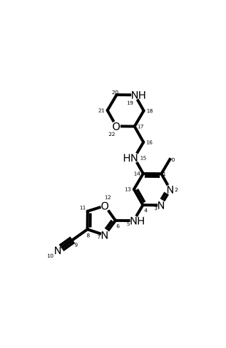 Cc1nnc(Nc2nc(C#N)co2)cc1NCC1CNCCO1